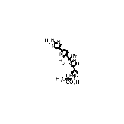 CC(C)C(C)(c1ccc(-c2cnc(N)nc2)nc1)c1noc(-c2cnn(CC(C)(C)C(=O)O)c2)n1